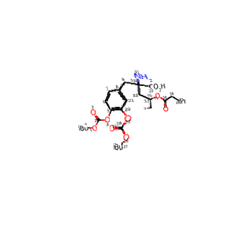 CCC(C)OC(=O)Oc1ccc(CC(N)(C[C@H](C)OC(=O)CC(C)C)C(=O)O)cc1OC(=O)OC(C)CC